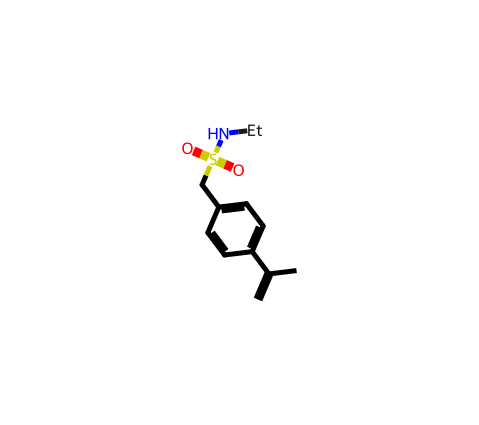 C=C(C)c1ccc(CS(=O)(=O)NCC)cc1